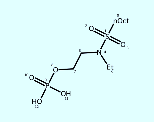 CCCCCCCCS(=O)(=O)N(CC)CCOP(=O)(O)O